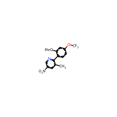 COc1cc(OC(F)(F)F)ccc1-c1ncc([N+](=O)[O-])cc1C